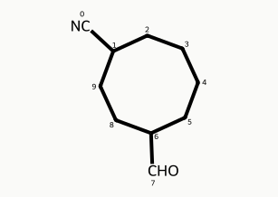 N#CC1CCCCC(C=O)CC1